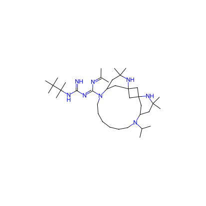 CC(C)=N/C(=N\C(=N)NC(C)(C)C(C)(C)C)N1CCCCCCN(C(C)C)C2CC(C)(C)NC3(C2)CC2(CC1CC(C)(C)N2)C3